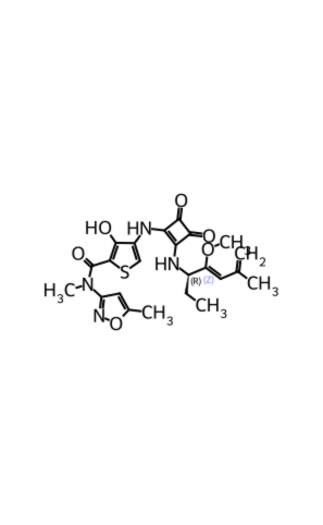 C=C(C)/C=C(\OC)[C@@H](CC)Nc1c(Nc2csc(C(=O)N(C)c3cc(C)on3)c2O)c(=O)c1=O